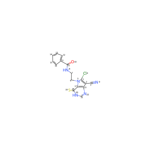 N#Cc1c(Cl)n(CCNC(=O)c2ccccc2)c2c(=S)[nH]cnc12